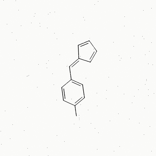 Oc1ccc(C=C2C=CC=C2)cc1